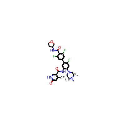 C[C@@H]1CN(c2cc(F)c(-c3cc(F)c(C(=O)NC4CCOC4)c(F)c3)cc2NC(=O)c2c[nH]c(=O)cc2C(F)(F)F)C[C@H](C)N1C